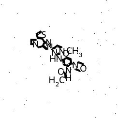 C=CC(=O)Nc1cc(Nc2nccc(-n3cc(CN4CCC4)c(-c4cccs4)n3)n2)c(OC)cc1N1CCOCC1